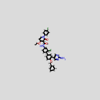 CCOc1ccn(-c2ccc(F)cc2)c(=O)c1C(=O)Nc1ccc(-c2ccc(OCc3ccccc3)c(-c3cnc(N)nc3)c2)c(F)c1